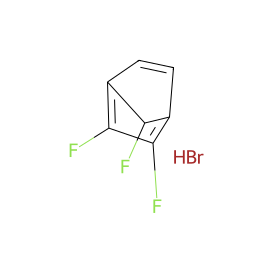 Br.FC1=C2C=CC(=C1F)C2F